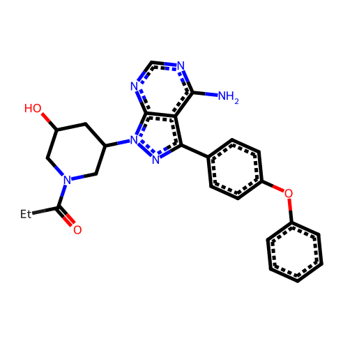 CCC(=O)N1CC(O)CC(n2nc(-c3ccc(Oc4ccccc4)cc3)c3c(N)ncnc32)C1